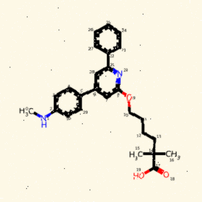 CNc1ccc(-c2cc(OCCCCC(C)(C)C(=O)O)nc(-c3ccccc3)c2)cc1